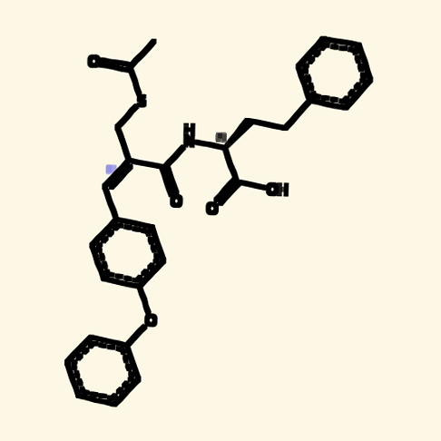 CC(=O)SC/C(=C/c1ccc(Oc2ccccc2)cc1)C(=O)N[C@@H](CCc1ccccc1)C(=O)O